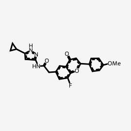 COc1ccc(-c2cc(=O)c3cc(CC(=O)Nc4cc(C5CC5)[nH]n4)cc(F)c3o2)cc1